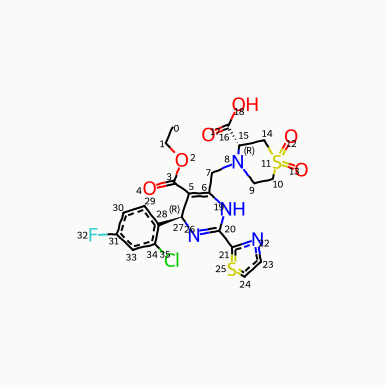 CCOC(=O)C1=C(CN2CCS(=O)(=O)C[C@H]2C(=O)O)NC(c2nccs2)=N[C@H]1c1ccc(F)cc1Cl